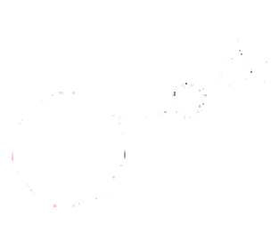 CC1(C)OB(c2ccc(OCC3COCCOCCOCCOCCOCCO3)cc2)OC1(C)C